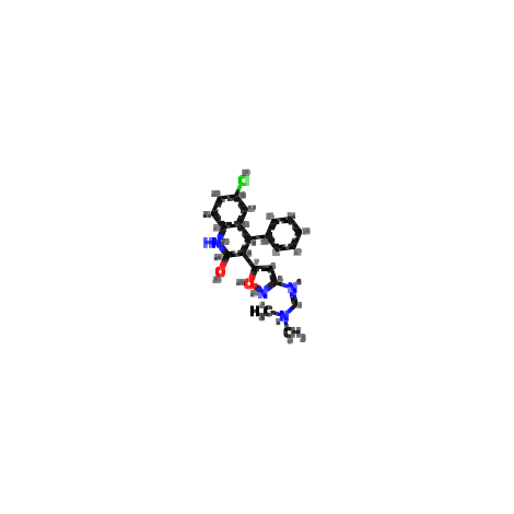 CN(C)/C=N\c1cc(-c2c(-c3ccccc3)c3cc(Cl)ccc3[nH]c2=O)on1